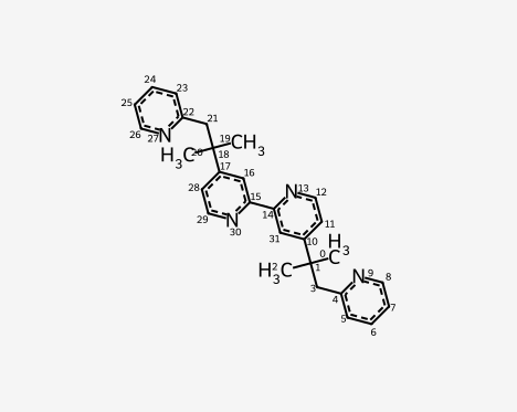 CC(C)(Cc1ccccn1)c1ccnc(-c2cc(C(C)(C)Cc3ccccn3)ccn2)c1